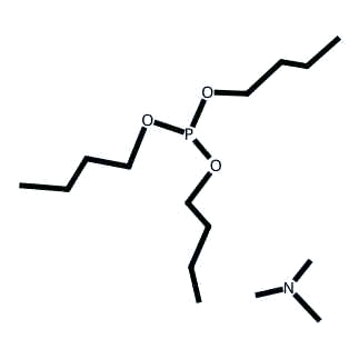 CCCCOP(OCCCC)OCCCC.CN(C)C